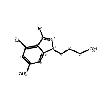 O=Cc1cc(Cl)c2c(Br)nn(CCCO)c2c1